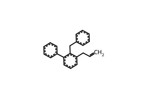 C=CCc1cccc(-c2ccccc2)c1Cc1ccccc1